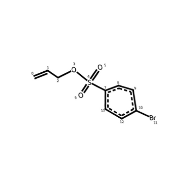 C=CCOS(=O)(=O)c1ccc(Br)cc1